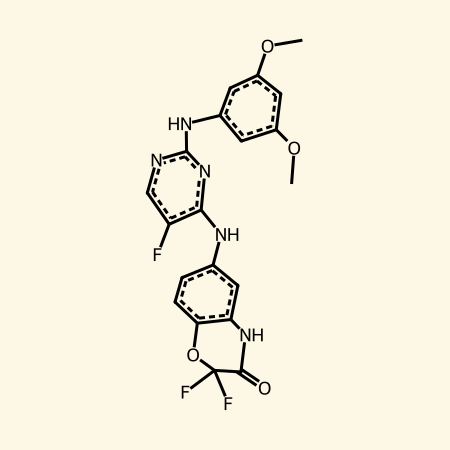 COc1cc(Nc2ncc(F)c(Nc3ccc4c(c3)NC(=O)C(F)(F)O4)n2)cc(OC)c1